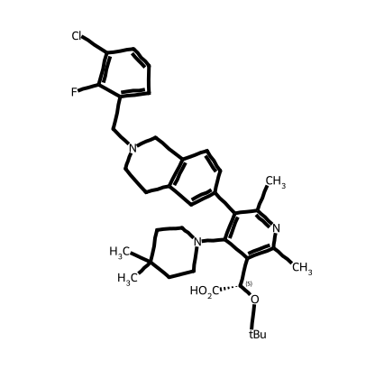 Cc1nc(C)c([C@H](OC(C)(C)C)C(=O)O)c(N2CCC(C)(C)CC2)c1-c1ccc2c(c1)CCN(Cc1cccc(Cl)c1F)C2